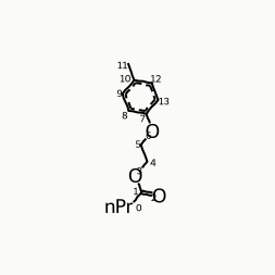 CCCC(=O)OCCOc1ccc(C)cc1